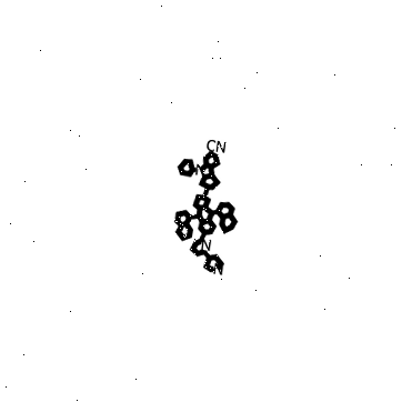 N#Cc1ccc2c3ccc(-c4ccc5c(-c6cccc7ccccc67)c6cc(-c7cccc(-c8ccncc8)n7)ccc6c(-c6cccc7ccccc67)c5c4)cc3n(-c3ccccc3)c2c1